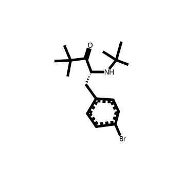 CC(C)(C)N[C@H](Cc1ccc(Br)cc1)C(=O)C(C)(C)C